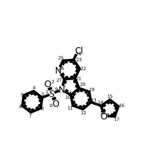 O=S(=O)(c1ccccc1)n1c2ccc(-c3ccco3)cc2c2cc(Cl)cnc21